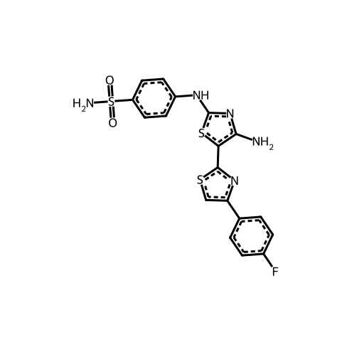 Nc1nc(Nc2ccc(S(N)(=O)=O)cc2)sc1-c1nc(-c2ccc(F)cc2)cs1